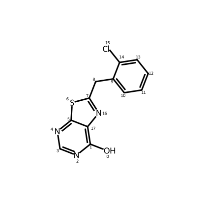 Oc1ncnc2sc(Cc3ccccc3Cl)nc12